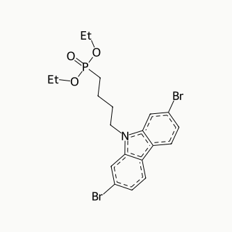 CCOP(=O)(CCCCn1c2cc(Br)ccc2c2ccc(Br)cc21)OCC